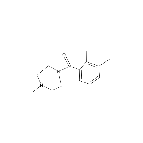 Cc1cccc(C(=O)N2CCN(C)CC2)c1C